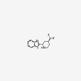 FC(F)=C1CCNC(c2nc3ccccc3s2)C1